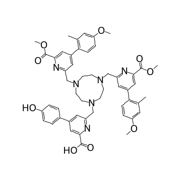 COC(=O)c1cc(-c2ccc(OC)cc2C)cc(CN2CCN(Cc3cc(-c4ccc(O)cc4)cc(C(=O)O)n3)CCN(Cc3cc(-c4ccc(OC)cc4C)cc(C(=O)OC)n3)CC2)n1